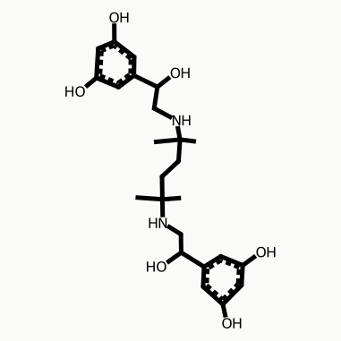 CC(C)(CCC(C)(C)NCC(O)c1cc(O)cc(O)c1)NCC(O)c1cc(O)cc(O)c1